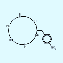 O=[N+]([O-])c1ccc(CC2CNCCNCCNCCNCCNCCN2)cc1